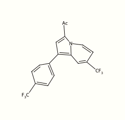 CC(=O)c1cc(-c2ccc(C(F)(F)F)cc2)c2cc(C(F)(F)F)ccn12